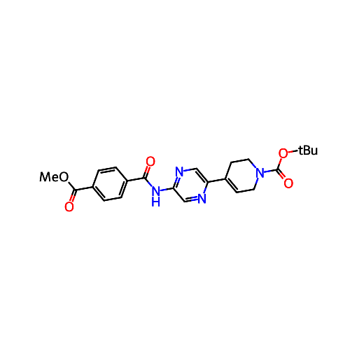 COC(=O)c1ccc(C(=O)Nc2cnc(C3=CCN(C(=O)OC(C)(C)C)CC3)cn2)cc1